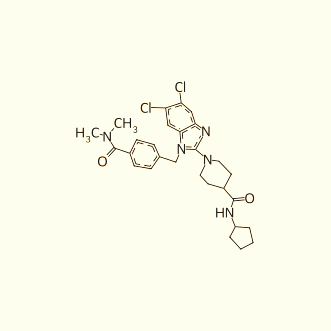 CN(C)C(=O)c1ccc(Cn2c(N3CCC(C(=O)NC4CCCC4)CC3)nc3cc(Cl)c(Cl)cc32)cc1